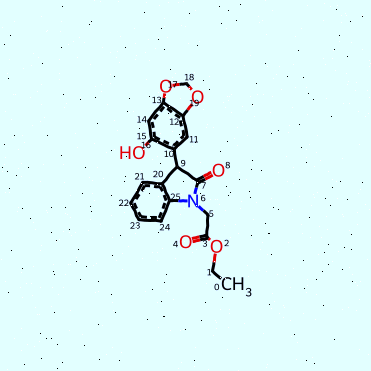 CCOC(=O)CN1C(=O)C(c2cc3c(cc2O)OCO3)c2ccccc21